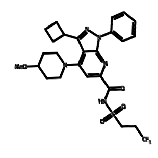 COC1CCN(c2cc(C(=O)NS(=O)(=O)CCC(F)(F)F)nc3c2c(C2CCC2)nn3-c2ccccc2)CC1